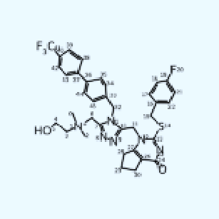 C[N+](C)(CCO)Cc1nnc(Cn2c(SCc3ccc(F)cc3)nc(=O)c3c2CCC3)n1Cc1ccc(-c2ccc(C(F)(F)F)cc2)cc1